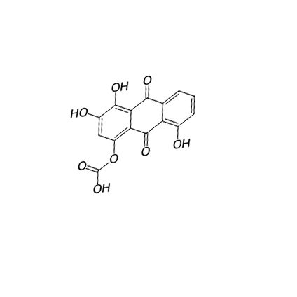 O=C(O)Oc1cc(O)c(O)c2c1C(=O)c1c(O)cccc1C2=O